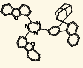 c1ccc2c3c(ccc2c1)C1(c2cc(-c4nc(-c5cccc6c5oc5ccccc56)nc(-c5cccc6c5oc5ccccc56)n4)ccc2-3)C2CC3CC(C2)CC1C3